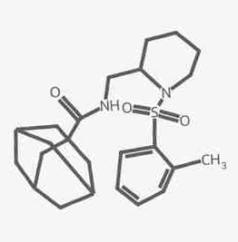 Cc1ccccc1S(=O)(=O)N1CCCCC1CNC(=O)C12CC3CC(CC(C3)C1)C2